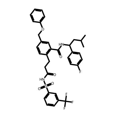 CC(C)CC(NC(=O)c1cc(COc2ccccc2)ccc1CCC(=O)NS(=O)(=O)c1cccc(C(F)(F)F)c1)c1ccc(F)cc1